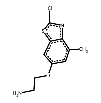 Cc1cc(OCCN)cc2sc(Cl)nc12